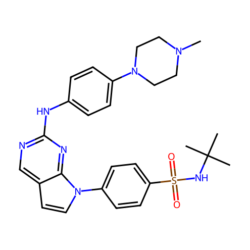 CN1CCN(c2ccc(Nc3ncc4ccn(-c5ccc(S(=O)(=O)NC(C)(C)C)cc5)c4n3)cc2)CC1